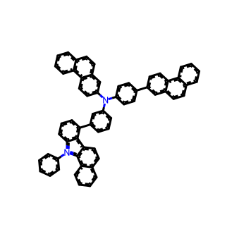 c1ccc(-n2c3cccc(-c4cccc(N(c5ccc(-c6ccc7c(ccc8ccccc87)c6)cc5)c5ccc6c(ccc7ccccc76)c5)c4)c3c3ccc4ccccc4c32)cc1